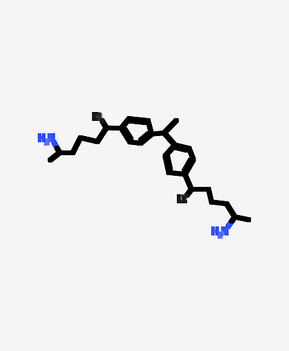 CCC(CCCC(C)N)c1ccc(C(C)c2ccc(C(CC)CCCC(C)N)cc2)cc1